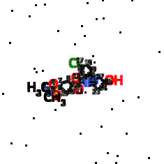 CN(C)S(=O)(=O)c1ccc(S(=O)(=O)Nc2cc(Cl)ccc2N2CCCC(O)C2)cc1